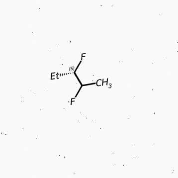 [CH2]C[C@H](F)C(C)F